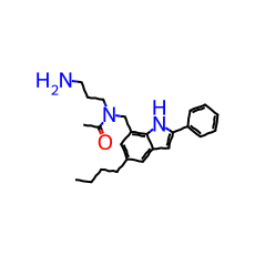 CCCCc1cc(CN(CCCN)C(C)=O)c2[nH]c(-c3ccccc3)cc2c1